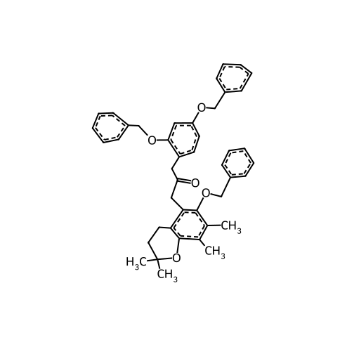 Cc1c(C)c2c(c(CC(=O)Cc3ccc(OCc4ccccc4)cc3OCc3ccccc3)c1OCc1ccccc1)CCC(C)(C)O2